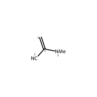 C=C(C#N)NC